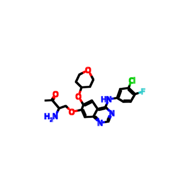 CC(=O)C(N)COc1cc2ncnc(Nc3ccc(F)c(Cl)c3)c2cc1OC1CCOCC1